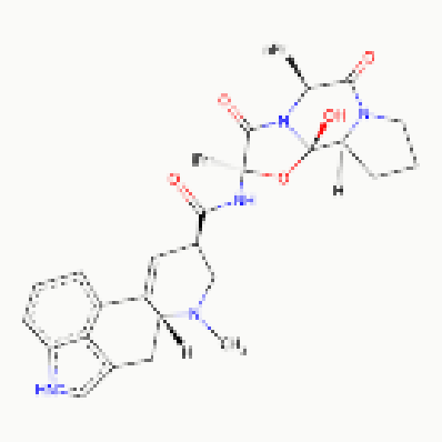 CCC[C@H]1C(=O)N2CCC[C@H]2[C@]2(O)O[C@](NC(=O)[C@@H]3C=C4c5cccc6[nH]cc(c56)C[C@H]4N(C)C3)(C(C)C)C(=O)N12